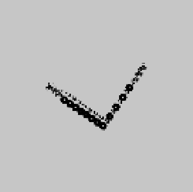 C[S+](C)c1ccccc1.C[S+](C)c1ccccc1.C[S+](C)c1ccccc1.C[S+](C)c1ccccc1.C[S+](C)c1ccccc1.C[S+](C)c1ccccc1.C[S+](C)c1ccccc1.C[S+](C)c1ccccc1.C[S+](C)c1ccccc1.C[S+](C)c1ccccc1.C[S+](C)c1ccccc1.C[S+](C)c1ccccc1.[O-]B([O-])F.[O-]B([O-])F.[O-]B([O-])F.[O-]B([O-])F.[O-]B([O-])F.[O-]B([O-])F